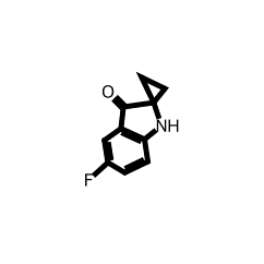 O=C1c2cc(F)ccc2NC12CC2